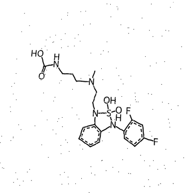 CN(CCCNC(=O)O)CCN1c2ccccc2N(c2ccc(F)cc2F)S1(O)O